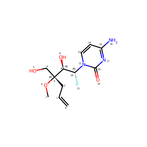 C=CC[C@](CO)(OC)[C@@H](O)[C@@H](F)n1ccc(N)nc1=O